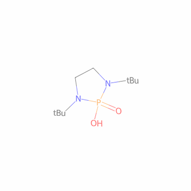 CC(C)(C)N1CCN(C(C)(C)C)P1(=O)O